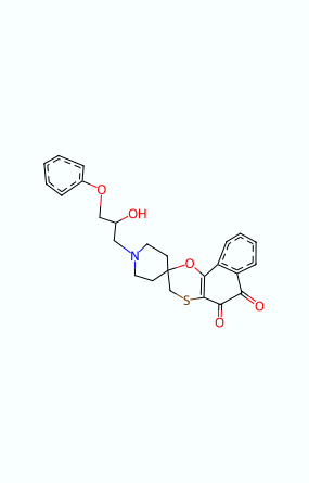 O=C1C(=O)c2ccccc2C2=C1SCC1(CCN(CC(O)COc3ccccc3)CC1)O2